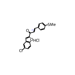 CSc1ccc(/C=C/C(=O)c2cc3cc(Cl)ccc3o2)cc1.Cl